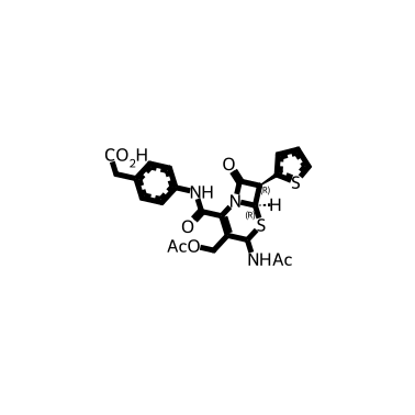 CC(=O)NC1S[C@@H]2[C@H](c3cccs3)C(=O)N2C(C(=O)Nc2ccc(CC(=O)O)cc2)=C1COC(C)=O